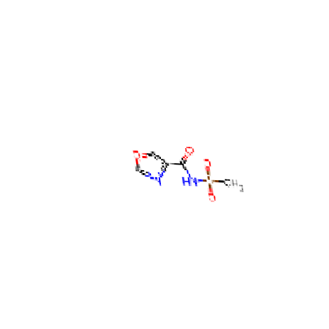 CS(=O)(=O)NC(=O)c1cocn1